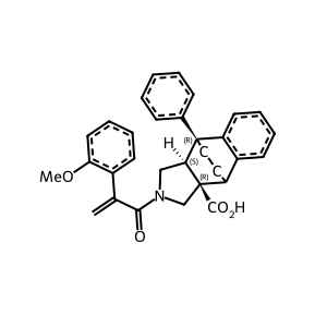 C=C(C(=O)N1C[C@H]2[C@@]3(c4ccccc4)CCC(c4ccccc43)[C@]2(C(=O)O)C1)c1ccccc1OC